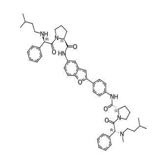 CC(C)CCN[C@@H](C(=O)N1CCC[C@H]1C(=O)Nc1ccc2oc(-c3ccc(NC(=O)[C@@H]4CCCN4C(=O)[C@@H](c4ccccc4)N(C)CCC(C)C)cc3)cc2c1)c1ccccc1